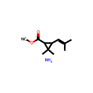 CC(C)=CC1C(C(=O)OC#N)C1(C)C.N